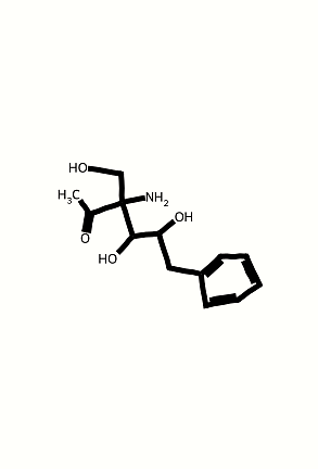 CC(=O)C(N)(CO)C(O)C(O)Cc1ccccc1